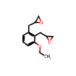 CCOc1cccc(CC2CO2)c1CC1CO1